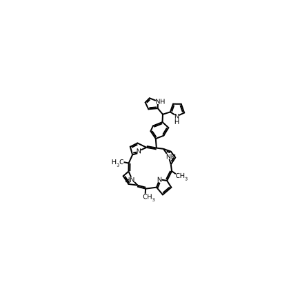 Cc1c2nc(c(C)c3ccc([nH]3)c(-c3ccc(C(c4ccc[nH]4)c4ccc[nH]4)cc3)c3nc(c(C)c4ccc1[nH]4)C=C3)C=C2